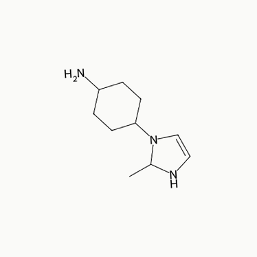 CC1NC=CN1C1CCC(N)CC1